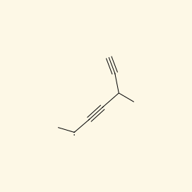 C#CC(C)C#C[CH]C